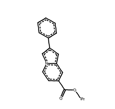 CC(C)OC(=O)c1ccn2cc(-c3ccccc3)cc2c1